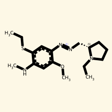 CCSc1cc(/N=N/C[C@@H]2CCCN2CC)c(OC)cc1NC